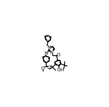 COC(=O)c1ccc(/N=c2\n(CC(=O)c3cc(C(C)(C)C)c(O)c(C(C)(C)C)c3)ccn2Cc2ccccc2)cc1